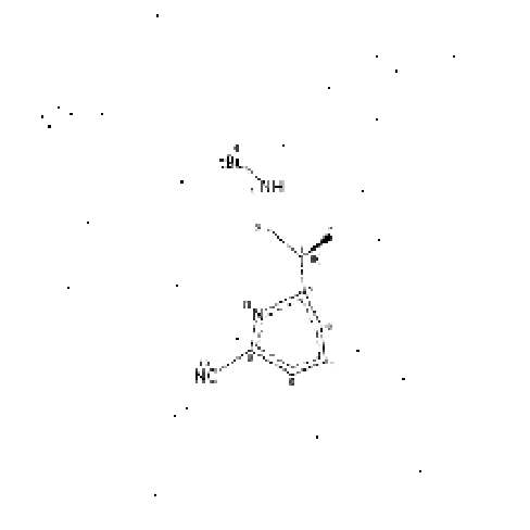 C[C@H](CNC(C)(C)C)c1cccc(C#N)n1